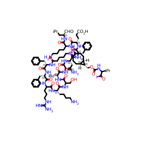 CC[C@H](C)C(NC(=O)[C@@H](NC(=O)C(CO)NC(=O)[C@H](CCCCN)NC(=O)C(CCCNC(=N)N)NC(=O)[C@H](Cc1ccccc1)NC(=O)[C@H](Cc1ccccc1)NC(=O)CCCCn1[nH]c2c1CC[C@H]1[C@@H](CC2)[C@@H]1COC(=O)NC(C(=O)I)C(C)C)[C@@H](C)CC)C(=O)N[C@@H](CC(N)=O)C(=O)N[C@@H](Cc1ccccc1)C(=O)N[C@@H](CCC(=O)O)C(=O)NC(CCCCN)C(=O)N[C@H](C=O)CC(C)C